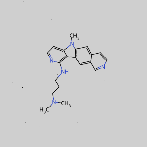 CN(C)CCCNc1nccc2c1c1cc3cnccc3cc1n2C